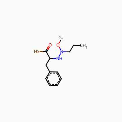 [3H]ON(CCC)NC(Cc1ccccc1)C(=O)S